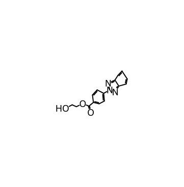 O=C(OCCO)c1ccc(-n2nc3ccccc3n2)cc1